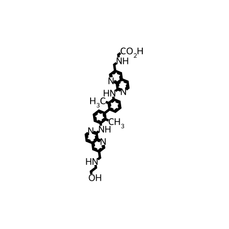 Cc1c(Nc2nccc3cc(CNCCO)cnc23)cccc1-c1cccc(Nc2nccc3cc(CNCC(=O)O)cnc23)c1C